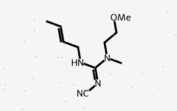 C/C=C/CN/C(=N\C#N)N(C)CCOC